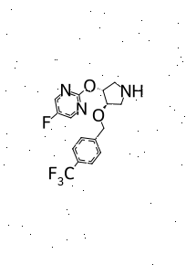 Fc1cnc(O[C@@H]2CNC[C@H]2OCc2ccc(C(F)(F)F)cc2)nc1